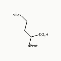 CCCCCCCCC(CCCCC)C(=O)O